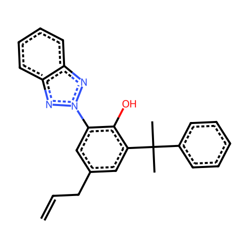 C=CCc1cc(-n2nc3ccccc3n2)c(O)c(C(C)(C)c2ccccc2)c1